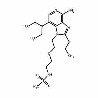 CCCc1nc2c(N)ncc(N(CC)CC)c2n1CCOCCNS(C)(=O)=O